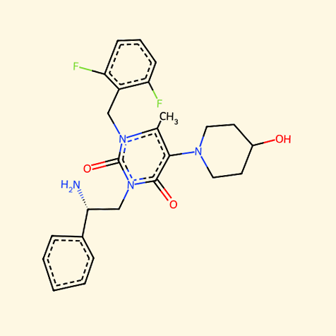 Cc1c(N2CCC(O)CC2)c(=O)n(C[C@@H](N)c2ccccc2)c(=O)n1Cc1c(F)cccc1F